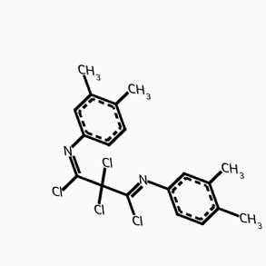 Cc1ccc(/N=C(\Cl)C(Cl)(Cl)/C(Cl)=N\c2ccc(C)c(C)c2)cc1C